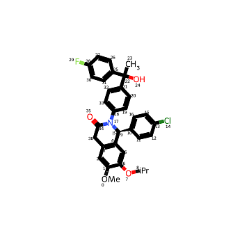 COc1cc2c(cc1OC(C)C)[C@H](c1ccc(Cl)cc1)N(c1ccc(C(C)(O)c3ccc(F)cc3)cc1)C(=O)C2